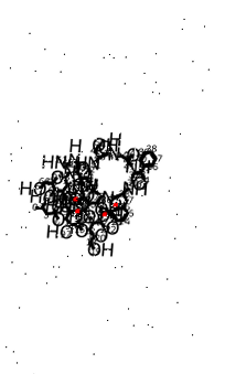 CC(C)CC(=O)OC1C(O)C(CO)OC(OC2C(CO)OC(Oc3ccc(CC4NC(=O)C(C(C)c5ccccc5)NC(=O)CNC(=O)C(CO)NC(=O)C(C(O)C5CNC(=N)N5C5OC(CO)C(O)C(O)C5O)NC(=O)C(C(O)C5CNC(=N)N5)NC4=O)cc3F)C(O)C2O)C1O